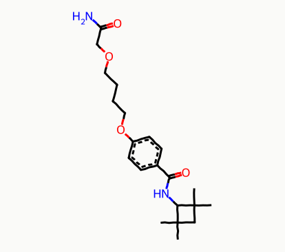 CC1(C)CC(C)(C)C1NC(=O)c1ccc(OCCCCOCC(N)=O)cc1